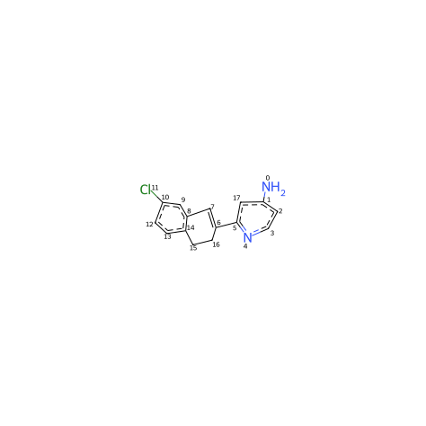 Nc1ccnc(C2=Cc3cc(Cl)ccc3CC2)c1